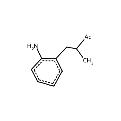 CC(=O)C(C)Cc1ccccc1N